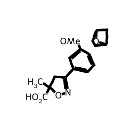 C1CC2CC1O2.COc1cccc(C2=NOC(C)(C(=O)O)C2)c1